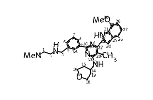 CNCCNCc1cccc(-c2nc(NC3CCOCC3)c(C)c(-c3cc4cccc(OC)c4[nH]3)n2)c1